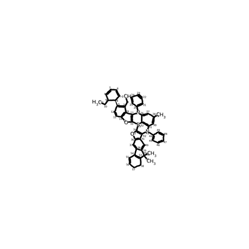 CCc1c([C@@H]2C=CC=CC2CC)ccc2oc3c(c12)N(c1cc#ccc1)c1cc(C)cc2c1B3c1oc3cc4c(cc3c1N2c1ccccc1)C(C)(C)C1=C4C=CCC1